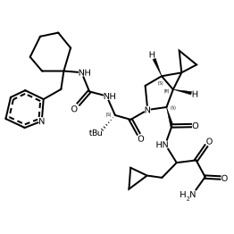 CC(C)(C)[C@H](NC(=O)NC1(Cc2ccccn2)CCCCC1)C(=O)N1C[C@H]2[C@@H]([C@H]1C(=O)NC(CC1CC1)C(=O)C(N)=O)C21CC1